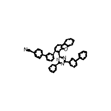 N#Cc1ccc(-c2cccc(-c3ccc4c(oc5ccccc54)c3-c3nc(-c4ccccc4)nc(-c4cccc(-c5ccccc5)c4)n3)c2)cc1